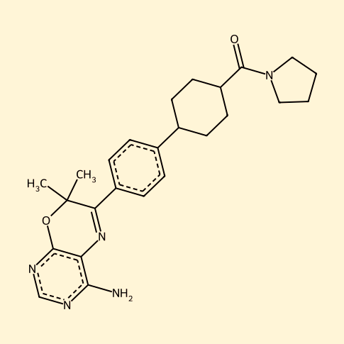 CC1(C)Oc2ncnc(N)c2N=C1c1ccc(C2CCC(C(=O)N3CCCC3)CC2)cc1